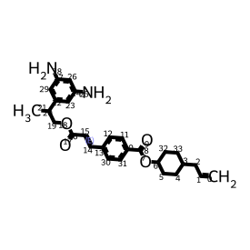 C=CCC1CCC(OC(=O)c2ccc(/C=C/C(=O)OCC(C)c3cc(N)cc(N)c3)cc2)CC1